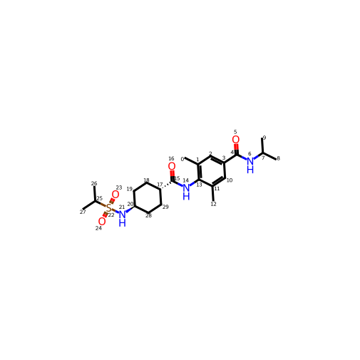 Cc1cc(C(=O)NC(C)C)cc(C)c1NC(=O)[C@H]1CC[C@H](NS(=O)(=O)C(C)C)CC1